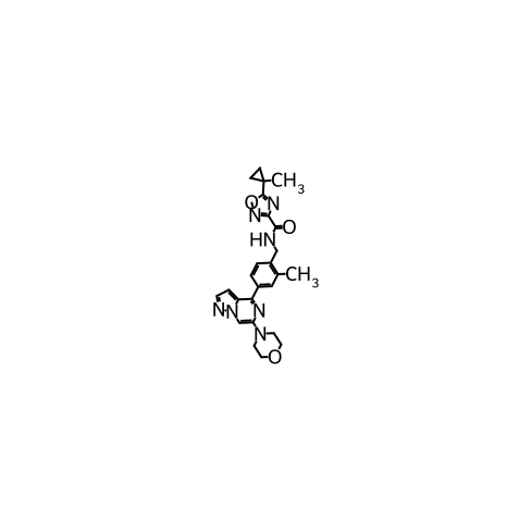 Cc1cc(-c2nc(N3CCOCC3)cn3nccc23)ccc1CNC(=O)c1noc(C2(C)CC2)n1